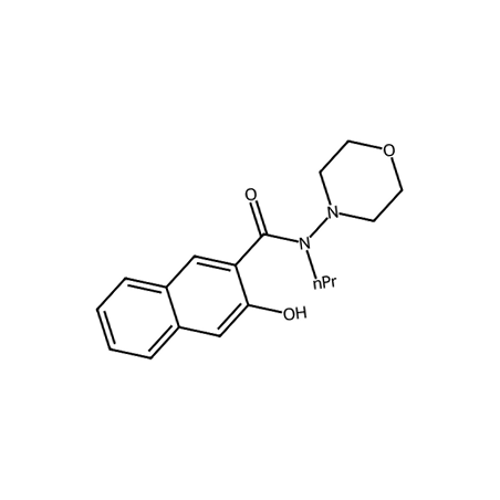 CCCN(C(=O)c1cc2ccccc2cc1O)N1CCOCC1